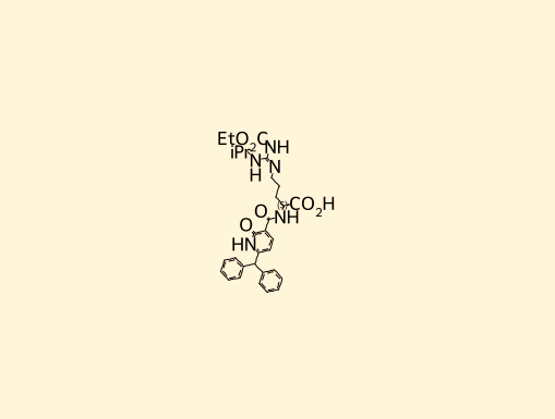 CCOC(=O)NC(=NCCC[C@H](NC(=O)c1ccc(C(c2ccccc2)c2ccccc2)[nH]c1=O)C(=O)O)NC(C)C